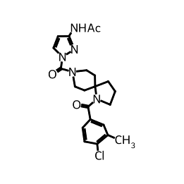 CC(=O)Nc1ccn(C(=O)N2CCC3(CCCN3C(=O)c3ccc(Cl)c(C)c3)CC2)n1